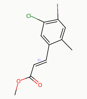 COC(=O)/C=C/c1cc(Cl)c(I)cc1C